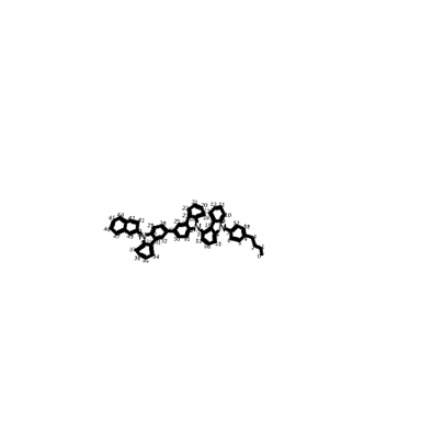 CCCCc1ccc(-n2c3ccccc3c3c(-n4c5ccccc5c5cc(-c6ccc7c(c6)c6ccccc6n7-c6ccc7ccccc7c6)ccc54)cccc32)cc1